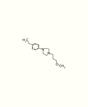 CCc1ccc(N2CCN(CCCOC)CC2)cc1